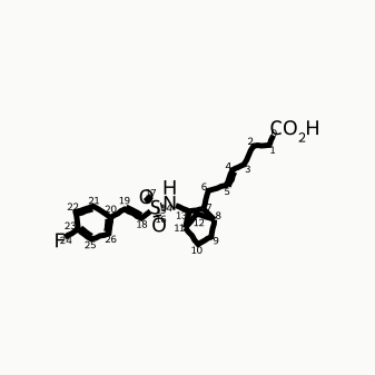 O=C(O)CCC/C=C/CC1C2CCC(C2)C1NS(=O)(=O)/C=C/c1ccc(F)cc1